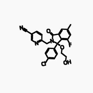 Cc1cc(F)c2c(c1)C(=O)N(Cc1ccc(C#N)cn1)[C@@]2(OCCO)c1ccc(Cl)cc1